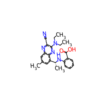 CCN(CC)c1nc2c([C@@H](C)Nc3ccccc3C(=O)O)cc(C)cc2nc1C#N